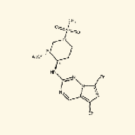 CC(=O)O[C@@H]1CN(S(C)(=O)=O)CC[C@H]1Nc1ncc2c(C(F)(F)F)nc(C(C)C)n2n1